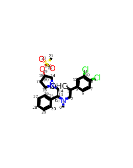 CN(CC(C=O)c1ccc(Cl)c(Cl)c1)[C@H](CN1CC[C@@H](OS(C)(=O)=O)C1)c1ccccc1